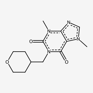 Cn1cnc2c1c(=O)n(CC1CCOCC1)c(=O)n2C